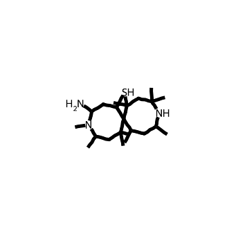 CC1CC(C)C2(C(C)CC(N)N(C)C(C)CC2(C)C)C(C)(S)CC(C)(C)N1